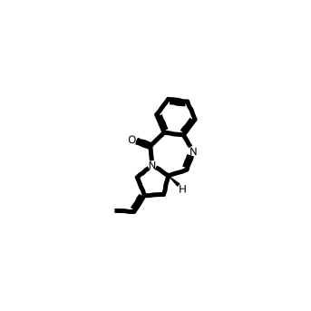 C/C=C1/C[C@H]2C=Nc3ccccc3C(=O)N2C1